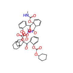 CNC(=O)OC1(C(=O)c2ccccc2OC(=O)OC2CCCCC2)C=CC=CC1C(=O)OOC(=O)C1C=CC=CC1(OC(=O)NC)C(=O)c1ccccc1OC(=O)OC1CCCCC1